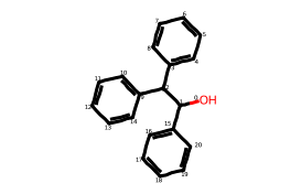 OC([C](c1ccccc1)c1ccccc1)c1ccccc1